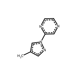 Cc1cnn(-c2cnccn2)c1